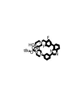 CC(C)(C)OC(=O)N1CCN(c2cccc(-c3cnc4cccc(-c5cc(F)c(CN6CCS(O)(O)CC6)c(F)c5)c4n3)c2)CC1